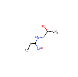 CCC(N=O)NCC(C)O